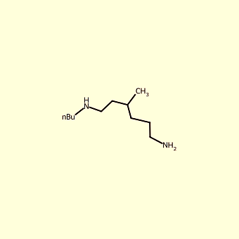 CCCCNCCC(C)CCCN